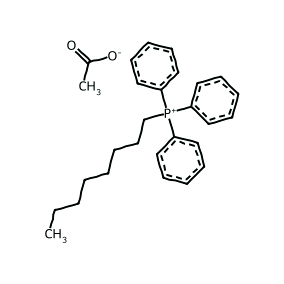 CC(=O)[O-].CCCCCCCC[P+](c1ccccc1)(c1ccccc1)c1ccccc1